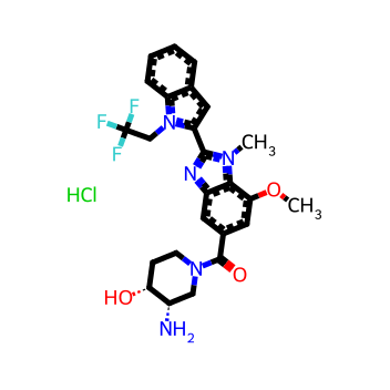 COc1cc(C(=O)N2CC[C@@H](O)[C@@H](N)C2)cc2nc(-c3cc4ccccc4n3CC(F)(F)F)n(C)c12.Cl